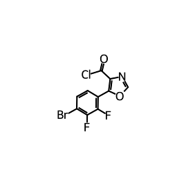 O=C(Cl)c1ncoc1-c1ccc(Br)c(F)c1F